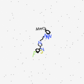 COc1ccc2nnn(CCCN3CCC(c4nsc5cc(F)ccc45)CC3)c2c1